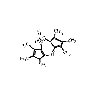 CC1=C(C)C(C)[C]([Hf][C]2=C(C)C(C)=C(C)C2C)=C1C.[H-].[H-]